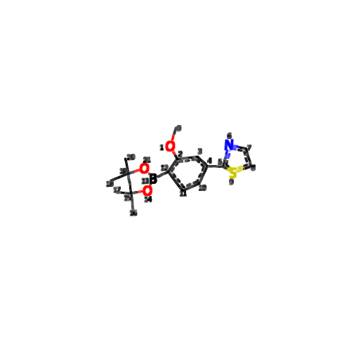 COc1cc(-c2nccs2)ccc1B1OC(C)(C)C(C)(C)O1